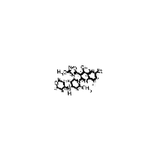 CCc1cc(I)c2nc(N3CC[C@@H](NC4CCOCC4)C[C@H]3C)c(-c3nc(C)no3)c(C)c2c1